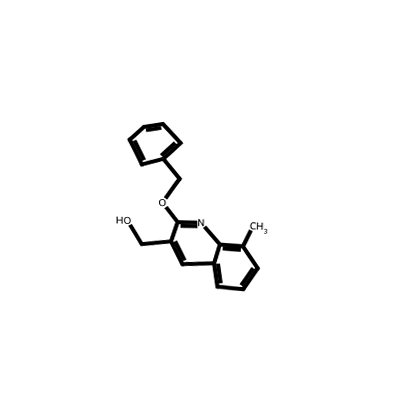 Cc1cccc2cc(CO)c(OCc3ccccc3)nc12